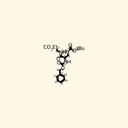 CCOC(=O)CNC(=O)C(CNC(=O)OC(C)(C)C)NC(=O)OCc1ccccc1